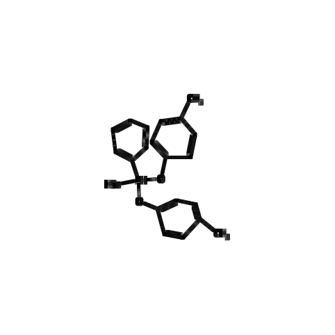 Cc1ccc(O[PH]([SeH])(Oc2ccc(C)cc2)c2ccccc2)cc1